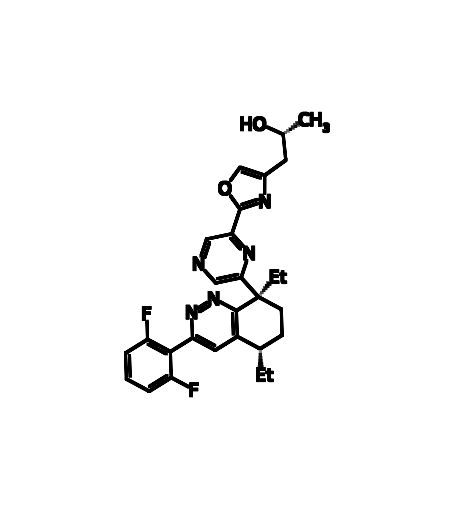 CC[C@H]1CC[C@](CC)(c2cncc(-c3nc(C[C@@H](C)O)co3)n2)c2nnc(-c3c(F)cccc3F)cc21